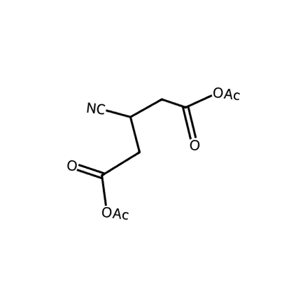 CC(=O)OC(=O)CC(C#N)CC(=O)OC(C)=O